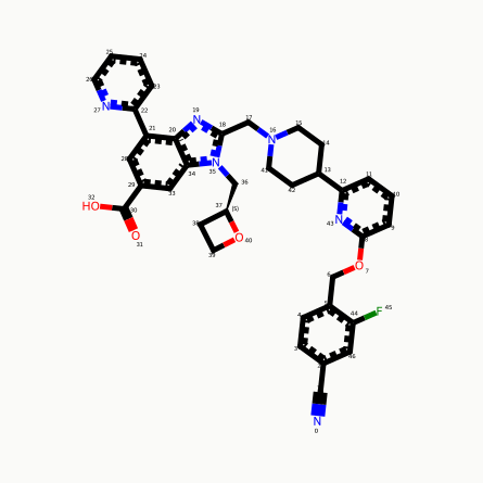 N#Cc1ccc(COc2cccc(C3CCN(Cc4nc5c(-c6ccccn6)cc(C(=O)O)cc5n4C[C@@H]4CCO4)CC3)n2)c(F)c1